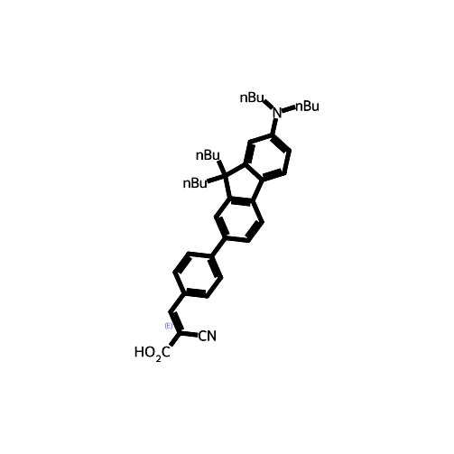 CCCCN(CCCC)c1ccc2c(c1)C(CCCC)(CCCC)c1cc(-c3ccc(/C=C(\C#N)C(=O)O)cc3)ccc1-2